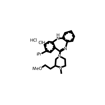 COCCC1CN(C2=Nc3ccccc3Nc3ccc(C(C)C)cc32)CCN1C.Cl.Cl